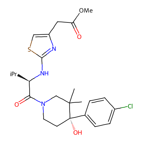 COC(=O)Cc1csc(N[C@@H](C(=O)N2CC[C@](O)(c3ccc(Cl)cc3)C(C)(C)C2)C(C)C)n1